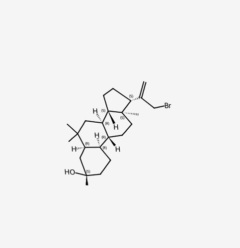 C=C(CBr)[C@H]1CC[C@H]2[C@@H]3CC(C)(C)[C@@H]4C[C@@](C)(O)CC[C@@H]4[C@H]3CC[C@]12C